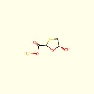 O=C(OP)[C@@H]1O[C@H](O)CS1